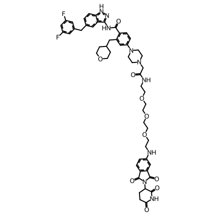 O=C(CN1CCN(c2ccc(C(=O)Nc3n[nH]c4ccc(Cc5cc(F)cc(F)c5)cc34)c(CC3CCOCC3)c2)CC1)NCCOCCOCCOCCNc1ccc2c(c1)C(=O)N(C1CCC(=O)NC1=O)C2=O